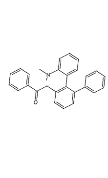 CN(C)c1ccccc1-c1c(CC(=O)c2ccccc2)cccc1-c1ccccc1